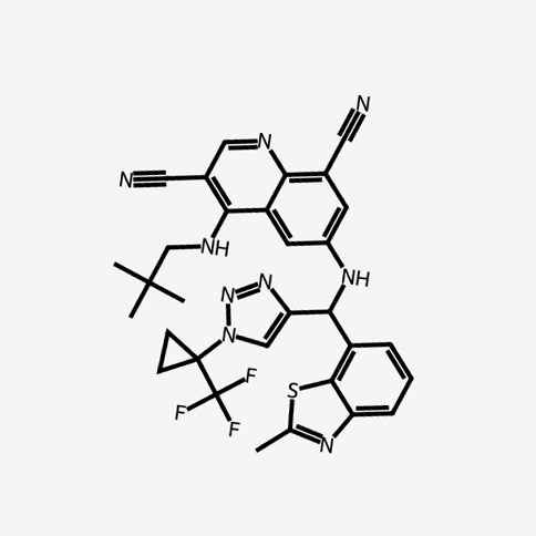 Cc1nc2cccc(C(Nc3cc(C#N)c4ncc(C#N)c(NCC(C)(C)C)c4c3)c3cn(C4(C(F)(F)F)CC4)nn3)c2s1